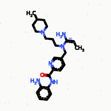 C/C=C(/N)N(CCCN1CCC(C)CC1)Cc1ccc(C(=O)Nc2ccccc2N)nc1